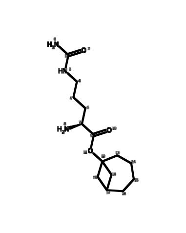 NC(=O)NCCC[C@H](N)C(=O)OC12CCCCC(C1)C2